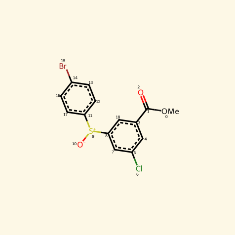 COC(=O)c1cc(Cl)cc([S+]([O-])c2ccc(Br)cc2)c1